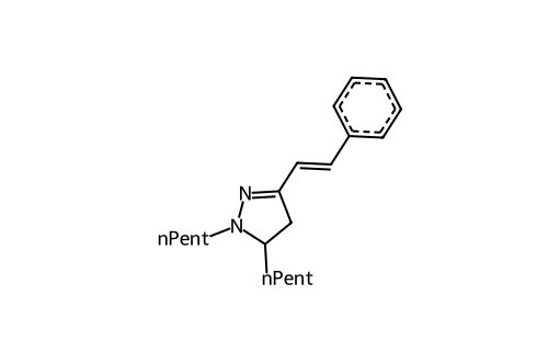 CCCCCC1CC(C=Cc2ccccc2)=NN1CCCCC